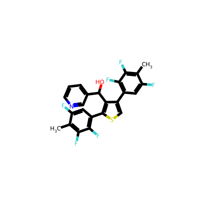 Cc1c(F)cc(-c2csc(-c3cc(F)c(C)c(F)c3F)c2C(O)c2cccnc2)c(F)c1F